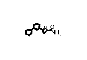 NC(=O)c1nc(-c2cccc(-c3ccccc3)c2)cs1